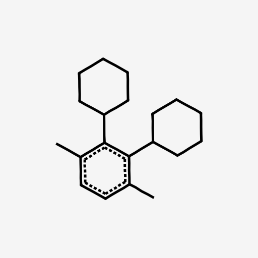 Cc1ccc(C)c(C2CCCCC2)c1C1CCCCC1